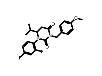 COc1ccc(CN2C(=O)CC(C(C)C)N(c3ccc(I)cc3F)C2=O)cc1